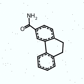 NC(=O)c1ccc2c(c1)-c1ccccc1CC2